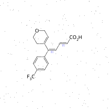 O=C(O)/C=C/C=C(\C1=CCOCC1)c1ccc(C(F)(F)F)cc1